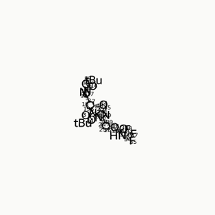 CC(C)(C)OC(=O)N(c1ccc(-c2cnn(C(=O)OC(C)(C)C)c2)cc1)c1nc(-c2cccc(OCC(=O)NC(CF)C(F)F)c2)nc2c1COC2